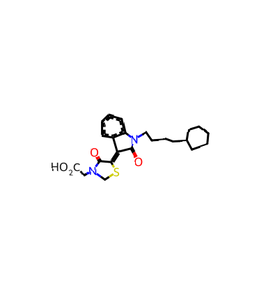 O=C(O)CN1CS/C(=C2\C(=O)N(CCCCC3CCCCC3)c3ccccc32)C1=O